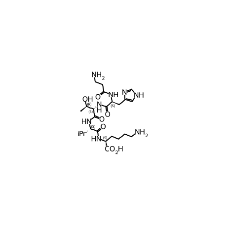 CC(C)[C@H](NC(=O)[C@@H](NC(=O)[C@H](Cc1c[nH]cn1)NC(=O)CCN)[C@@H](C)O)C(=O)N[C@@H](CCCCN)C(=O)O